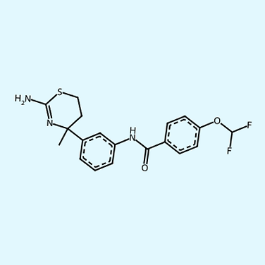 CC1(c2cccc(NC(=O)c3ccc(OC(F)F)cc3)c2)CCSC(N)=N1